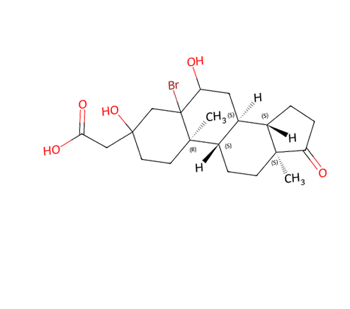 C[C@]12CC[C@H]3[C@@H](CC(O)C4(Br)CC(O)(CC(=O)O)CC[C@]34C)[C@@H]1CCC2=O